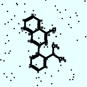 CC(C)c1ccccc1-c1nc(Cl)c2cccnc2n1